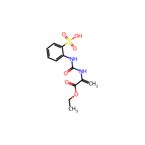 C=C(NC(=O)Nc1ccccc1S(=O)(=O)O)C(=O)OCC